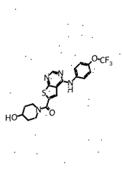 O=C(c1cc2c(Nc3ccc(OC(F)(F)F)cc3)ncnc2s1)N1CCC(O)CC1